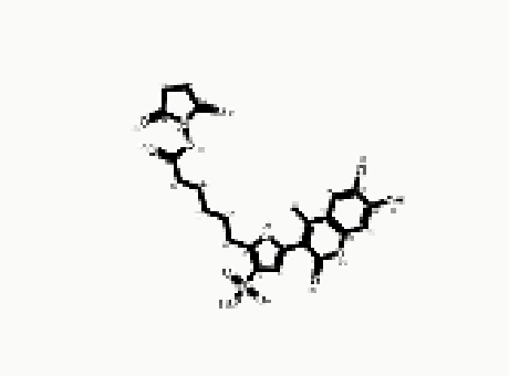 Cc1c(-c2cc(S(=O)(=O)O)c(CCCCCC(=O)ON3C(=O)CCC3=O)s2)c(=O)oc2cc(O)c(Cl)cc12